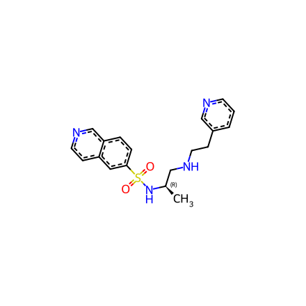 C[C@H](CNCCc1cccnc1)NS(=O)(=O)c1ccc2cnccc2c1